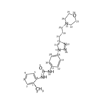 Cc1ccccc1NC(=O)Nc1ccc(-n2cc(CCCN3CCOCC3)nn2)cc1